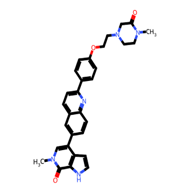 CN1CCN(CCOc2ccc(-c3ccc4cc(-c5cn(C)c(=O)c6[nH]ccc56)ccc4n3)cc2)CC1=O